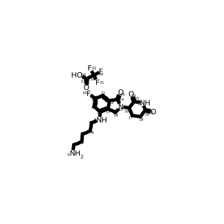 NCCCCCNc1cc(F)cc2c1CN(C1CCC(=O)NC1=O)C2=O.O=C(O)C(F)(F)F